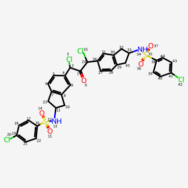 O=C(C(Cl)c1ccc2c(c1)CC(NS(=O)(=O)c1ccc(Cl)cc1)C2)C(Cl)c1ccc2c(c1)CC(NS(=O)(=O)c1ccc(Cl)cc1)C2